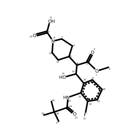 COC(=O)C(C1CCN(C(=O)O)CC1)C(O)c1cccc(F)c1NC(=O)C(C)(C)C